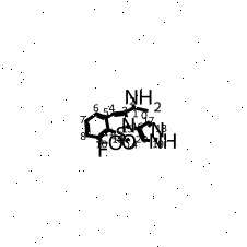 CC(N)C1=Cc2cccc(F)c2S(=O)(=O)N1c1cn[nH]c1